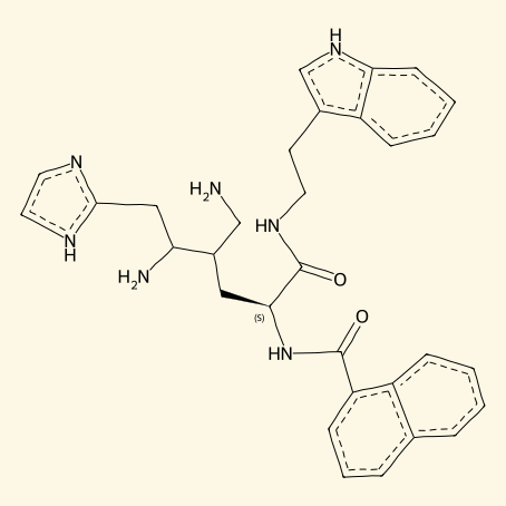 NCC(C[C@H](NC(=O)c1cccc2ccccc12)C(=O)NCCc1c[nH]c2ccccc12)C(N)Cc1ncc[nH]1